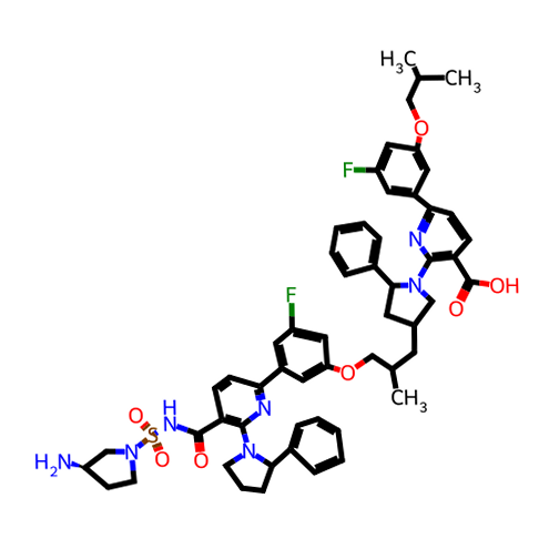 CC(C)COc1cc(F)cc(-c2ccc(C(=O)O)c(N3CC(CC(C)COc4cc(F)cc(-c5ccc(C(=O)NS(=O)(=O)N6CC[C@@H](N)C6)c(N6CCCC6c6ccccc6)n5)c4)CC3c3ccccc3)n2)c1